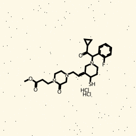 COC(=O)CCN1CCN(C/C=C2\CN(C(C(=O)C3CC3)c3ccccc3F)CCC2S)CC1=O.Cl.Cl